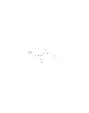 CCS(=O)(=O)c1ccc([C@H](CO)NC(=O)c2ccc(N3CC(c4ccc(C(F)(F)F)cc4)CC[C@H]3COC(F)F)nc2)cn1